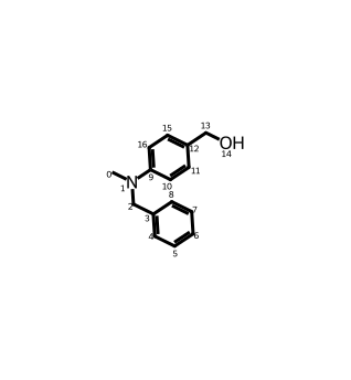 CN(Cc1ccccc1)c1ccc(CO)cc1